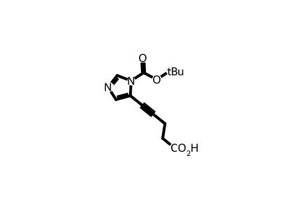 CC(C)(C)OC(=O)n1cncc1C#CCCC(=O)O